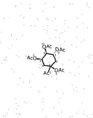 CC(=O)O[C@@H]1C[C@](OC(C)=O)(C(C)=O)C[C@@H](OC(C)=O)[C@H]1OC(C)=O